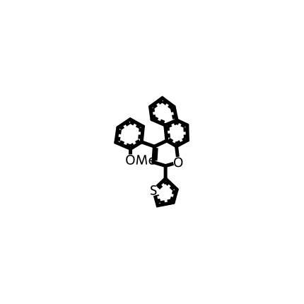 COc1ccccc1C1=CC(c2cccs2)Oc2ccc3ccccc3c21